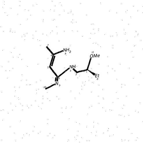 CC[C@@H](CNC(/C=C(/C)N)=N/C)OC